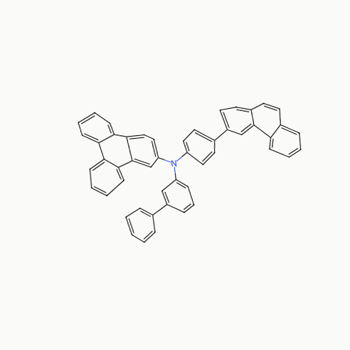 c1ccc(-c2cccc(N(c3ccc(-c4ccc5ccc6ccccc6c5c4)cc3)c3ccc4c5ccccc5c5ccccc5c4c3)c2)cc1